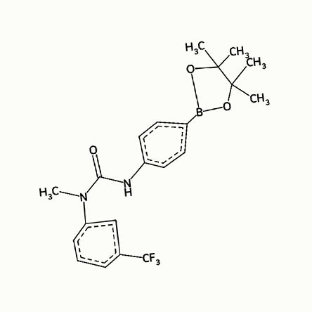 CN(C(=O)Nc1ccc(B2OC(C)(C)C(C)(C)O2)cc1)c1cccc(C(F)(F)F)c1